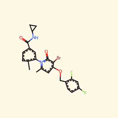 Cc1ccc(C(=O)NC2CC2)cc1-n1c(C)cc(OCc2ccc(F)cc2F)c(Br)c1=O